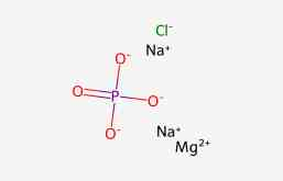 O=P([O-])([O-])[O-].[Cl-].[Mg+2].[Na+].[Na+]